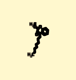 CCCCCCCCC1(c2ccccc2)OC1C(=O)OC